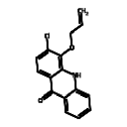 C=CCOc1c(Cl)ccc2c(=O)c3ccccc3[nH]c12